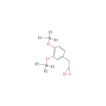 CC[Si](CC)(CC)Oc1ccc(CC2CO2)cc1O[Si](CC)(CC)CC